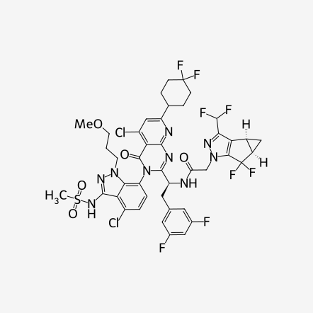 COCCCn1nc(NS(C)(=O)=O)c2c(Cl)ccc(-n3c([C@H](Cc4cc(F)cc(F)c4)NC(=O)Cn4nc(C(F)F)c5c4C(F)(F)[C@@H]4C[C@H]54)nc4nc(C5CCC(F)(F)CC5)cc(Cl)c4c3=O)c21